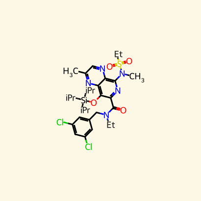 CCN(Cc1cc(Cl)cc(Cl)c1)C(=O)c1nc(N(C)S(=O)(=O)CC)c2ncc(C)nc2c1O[Si](C(C)C)(C(C)C)C(C)C